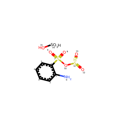 Nc1ccccc1S(=O)(=O)O[SH](=O)=O.O=S(=O)(O)O